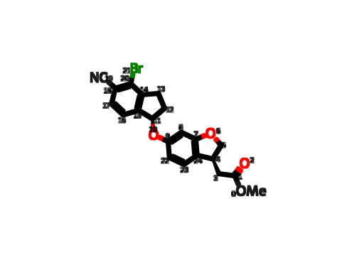 COC(=O)C[C@@H]1COc2cc(O[C@@H]3CCc4c3ccc(C#N)c4Br)ccc21